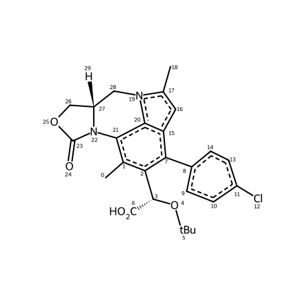 Cc1c([C@H](OC(C)(C)C)C(=O)O)c(-c2ccc(Cl)cc2)c2cc(C)n3c2c1N1C(=O)OC[C@@H]1C3